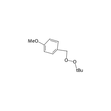 COc1ccc(COOC(C)(C)C)cc1